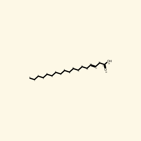 CCCCCCCCCCCCCC/C=C/CC(=O)O